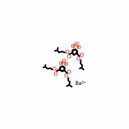 CC(C)CCCOC(=O)c1cc(C(=O)OCCCC(C)C)cc(S(=O)(=O)[O-])c1.CC(C)CCCOC(=O)c1cc(C(=O)OCCCC(C)C)cc(S(=O)(=O)[O-])c1.[Ba+2]